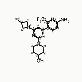 Nc1ccc(-c2cc(N3CC(F)C3)nc(N3CCC(O)CC3)n2)c(C(F)(F)F)n1